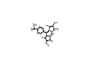 CCC1=C(C)C2=C(c3ccc(C(=O)O)cc3)c3c(C)c(CC)c(C)n3B[N+]2=C1C